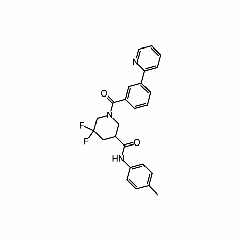 Cc1ccc(NC(=O)C2CN(C(=O)c3cccc(-c4ccccn4)c3)CC(F)(F)C2)cc1